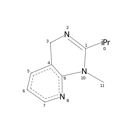 CC(C)C1=NCc2cccnc2N1C